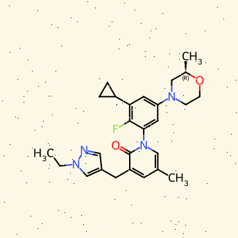 CCn1cc(Cc2cc(C)cn(-c3cc(N4CCO[C@H](C)C4)cc(C4CC4)c3F)c2=O)cn1